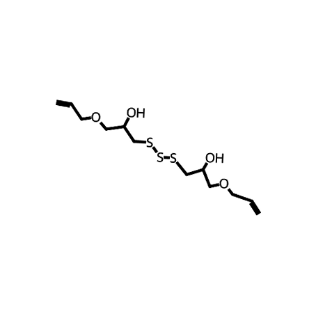 C=CCOCC(O)CSSSCC(O)COCC=C